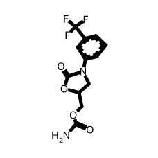 NC(=O)OCC1CN(c2cccc(C(F)(F)F)c2)C(=O)O1